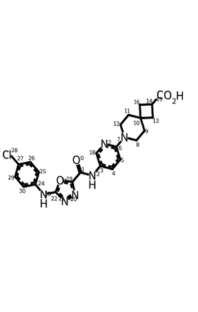 O=C(Nc1ccc(N2CCC3(CC2)CC(C(=O)O)C3)nc1)c1nnc(Nc2ccc(Cl)cc2)o1